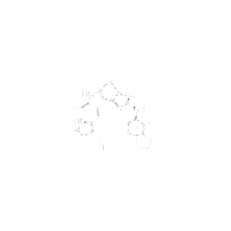 COc1cc[nH]c1/C=C1\C(=O)Nc2ccc3[nH]c(Nc4ccc5c(c4)CCC5)nc3c21